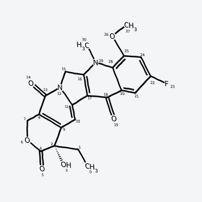 CC[C@@]1(O)C(=O)OCc2c1cc1n(c2=O)Cc2c-1c(=O)c1cc(F)cc(OC)c1n2C